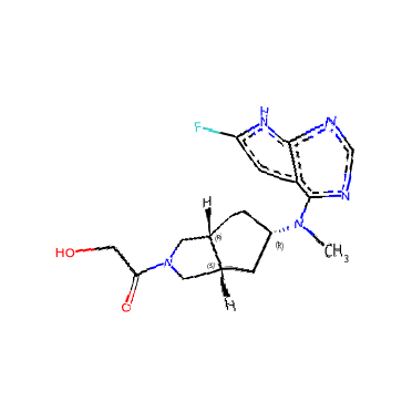 CN(c1ncnc2[nH]c(F)cc12)[C@@H]1C[C@@H]2CN(C(=O)CO)C[C@@H]2C1